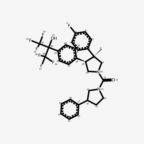 C[C@]1(c2ccc(F)cc2)CN(C(=O)N2CCC(c3ccccc3)C2)C[C@H]1c1ccc(C(O)(C(F)(F)F)C(F)(F)F)cc1